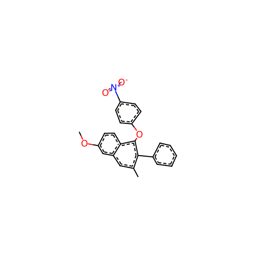 COc1ccc2c(Oc3ccc([N+](=O)[O-])cc3)c(-c3ccccc3)c(C)cc2c1